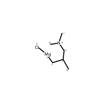 CC([CH2][Mg][Cl])CN(C)C